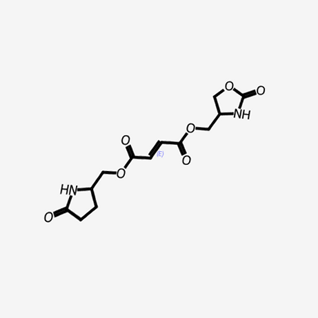 O=C1CCC(COC(=O)/C=C/C(=O)OCC2COC(=O)N2)N1